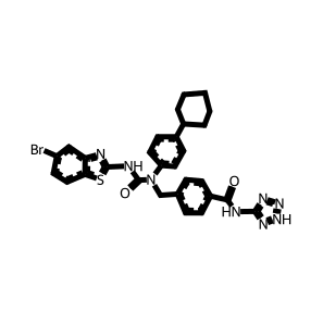 O=C(Nc1nn[nH]n1)c1ccc(CN(C(=O)Nc2nc3cc(Br)ccc3s2)c2ccc(C3CCCCC3)cc2)cc1